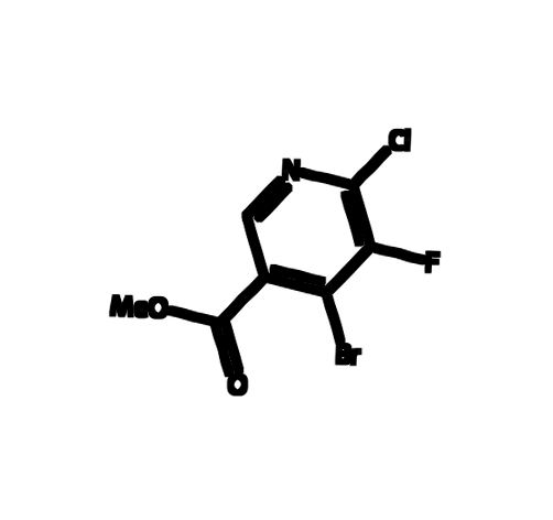 COC(=O)c1cnc(Cl)c(F)c1Br